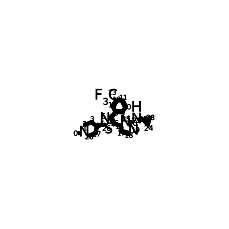 CN1CCC(c2nc(-c3cccc(C(F)(F)F)c3)c(-c3ccnc(NC4CC4)n3)s2)CC1